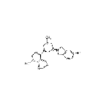 C[C@H]1C[C@@H](N2Cc3ccc(Br)cc3C2)CN(c2ccc(C#N)c3ncccc23)C1